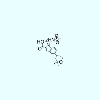 CC1(C)CC(c2ccc3c(c2)cc(C(=O)O)n3C2(CNS(C)(=O)=O)CC2)CCO1